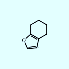 [c]1coc2c1CCCC2